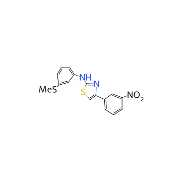 CSc1cccc(Nc2nc(-c3cccc([N+](=O)[O-])c3)cs2)c1